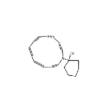 N#CC1(N2C=CC=CC=CC=CSNC=C2)CCCCC1